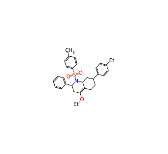 CCOC1=C2CCC(c3ccc(CC)cc3)CC2N(S(=O)(=O)c2ccc(C)cc2)C(c2ccccc2)C1